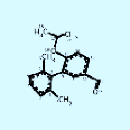 Cc1cccc(C)c1-c1cc(C=O)ccc1OC(C)C